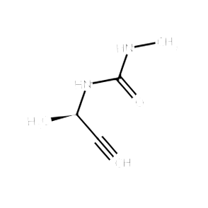 C#C[C@@H](C)NC(=O)NC